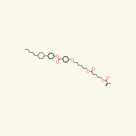 C=C(C)C(=O)OCCCCC(=O)OCCCCCCOc1ccc(C(=O)Oc2ccc(C3CCC(CCCCC)CC3)cc2)cc1